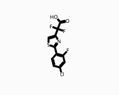 O=C(O)C(F)(F)c1csc(-c2ccc(Cl)cc2F)n1